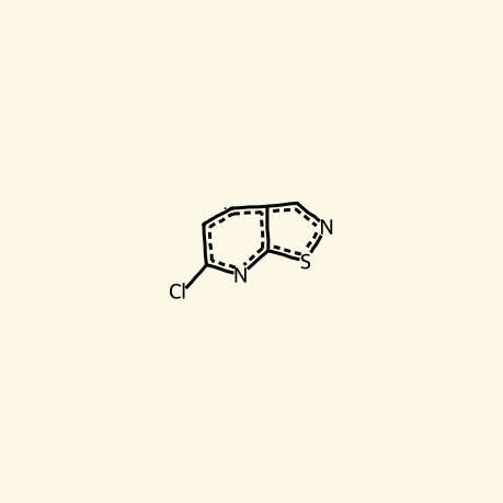 Clc1c[c]c2cnsc2n1